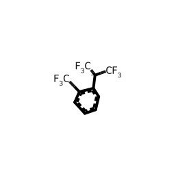 FC(F)(F)[C](c1ccccc1C(F)(F)F)C(F)(F)F